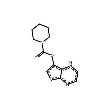 O=C(Oc1cnc2ncc[nH]c1-2)N1CCCCC1